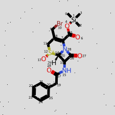 C[Si](C)(C)OC(=O)C1=C(CBr)C[S+]([O-])[C@H]2C(NC(=O)Cc3ccccc3)C(=O)N12